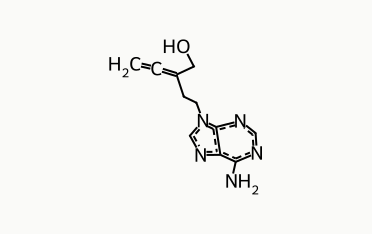 C=C=C(CO)CCn1cnc2c(N)ncnc21